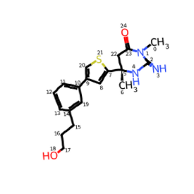 CN1C(=N)N[C@](C)(c2cc(-c3cccc(CCCO)c3)cs2)CC1=O